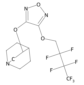 FC(F)(F)C(F)(F)C(F)(F)COc1nonc1OC1CN2CCC1CC2